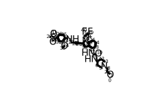 COCCN1CCC(NC(=O)Nc2cccc3c2cc(C#CCNc2ccc(S(C)(=O)=O)cc2OC)n3CC(F)(F)F)CC1